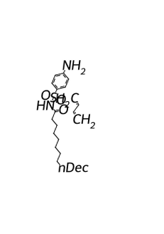 C=CC=C.CCCCCCCCCCCCCCCCCC(=O)NS(=O)(=O)c1ccc(N)cc1